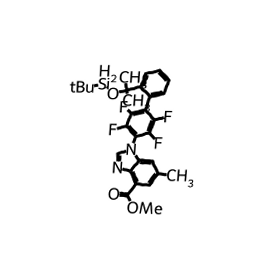 COC(=O)c1cc(C)cc2c1ncn2-c1c(F)c(F)c(-c2ccccc2C(C)(C)O[SiH2]C(C)(C)C)c(F)c1F